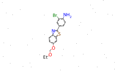 CCOCOc1ccc2nc(-c3ccc(N)c(Br)c3)sc2c1